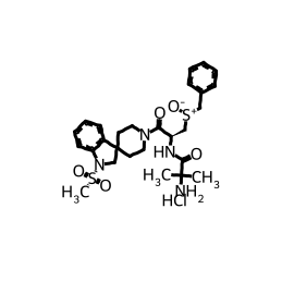 CC(C)(N)C(=O)N[C@H](C[S+]([O-])Cc1ccccc1)C(=O)N1CCC2(CC1)CN(S(C)(=O)=O)c1ccccc12.Cl